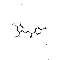 CCOc1cc(O)c(C)cc1C=CC(=O)c1ccc(N)cc1